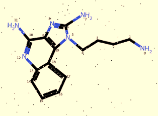 NCCCCn1c(N)nc2c(N)nc3ccccc3c21